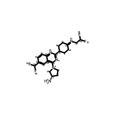 N[C@@H]1CCN(c2nc(C3CCC(=NCC(F)F)CC3)nc3ccc(C(F)F)cc23)C1